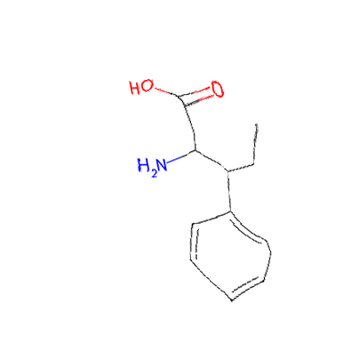 CCC(c1ccccc1)C(N)C(=O)O